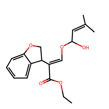 CCOC(=O)/C(=C/OC(O)C=C(C)C)C1COc2ccccc21